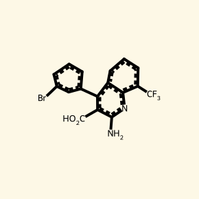 Nc1nc2c(C(F)(F)F)cccc2c(-c2cccc(Br)c2)c1C(=O)O